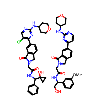 COc1cccc(C(CO)NC(=O)CN2Cc3ccc(-c4ccnc(NC5CCOCC5)n4)cc3C2=O)c1.O=C(CN1Cc2ccc(-c3nc(NC4CCOCC4)ncc3Cl)cc2C1=O)NC(c1ccccc1)C1(O)CC1